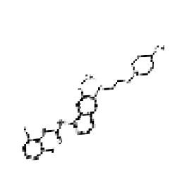 COc1cc2c(NC(=O)Nc3c(F)cccc3F)ncnc2cc1OCCCN1CCN(C)CC1